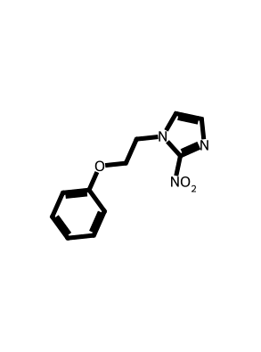 O=[N+]([O-])c1nccn1CCOc1ccccc1